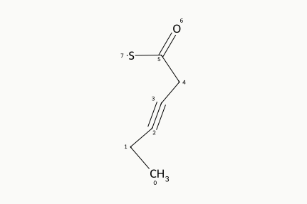 CCC#CCC(=O)[S]